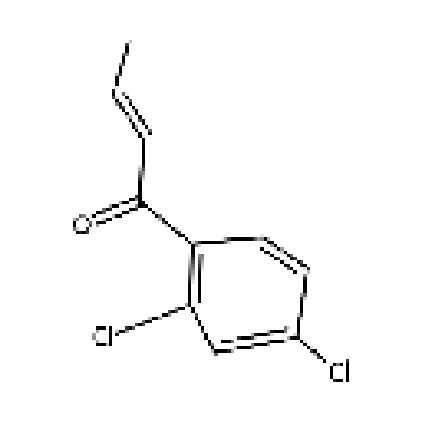 C/C=C/C(=O)c1ccc(Cl)cc1Cl